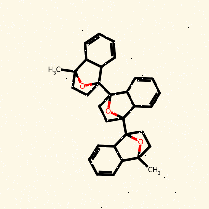 CC12CCC(C34CCC(C56CCC(C)(O5)C5C=CC=CC56)(O3)C3C=CC=CC34)(O1)C1C=CC=CC12